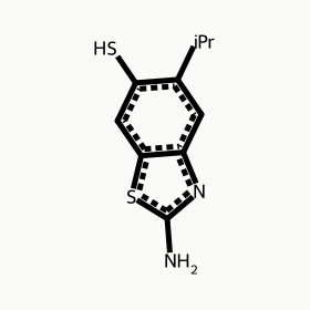 CC(C)c1cc2nc(N)sc2cc1S